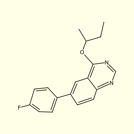 CCC(C)Oc1ncnc2ccc(-c3ccc(F)cc3)cc12